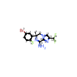 C[C@@]1(c2cc(Br)ccc2F)Cn2cc(C(F)F)nc2C(N)=N1